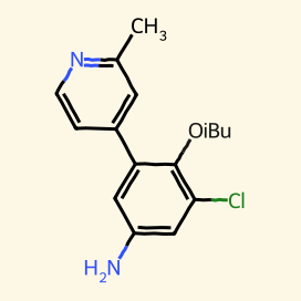 Cc1cc(-c2cc(N)cc(Cl)c2OCC(C)C)ccn1